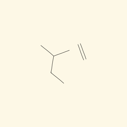 C=C.CCC(C)C